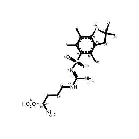 Cc1c(C)c(S(=O)(=O)/N=C(\N)NCCC[C@H](N)C(=O)O)c(C)c2c1OC(C)(C)C2